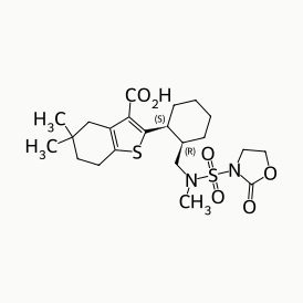 CN(C[C@@H]1CCCC[C@@H]1c1sc2c(c1C(=O)O)CC(C)(C)CC2)S(=O)(=O)N1CCOC1=O